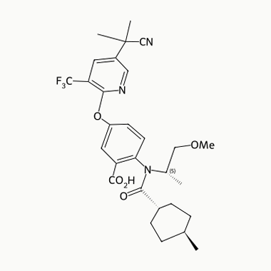 COC[C@H](C)N(c1ccc(Oc2ncc(C(C)(C)C#N)cc2C(F)(F)F)cc1C(=O)O)C(=O)[C@H]1CC[C@H](C)CC1